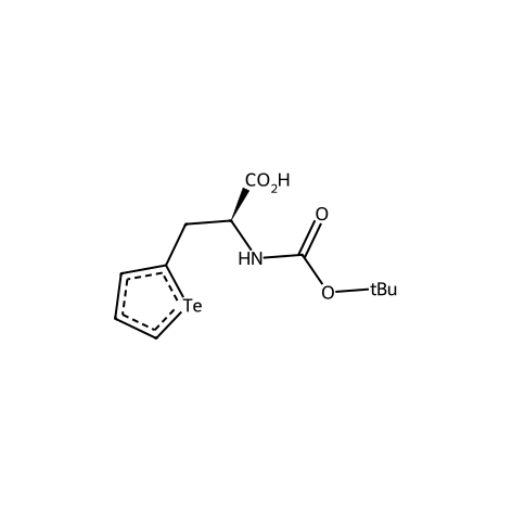 CC(C)(C)OC(=O)N[C@@H](Cc1ccc[te]1)C(=O)O